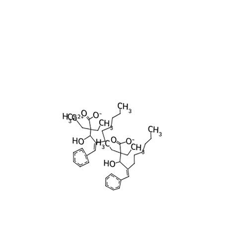 CCCCCC/C(=C/c1ccccc1)C(O)C(CC)(CC)C(=O)[O-].CCCCCC/C(=C/c1ccccc1)C(O)C(CC)(CC)C(=O)[O-].[Ca+2]